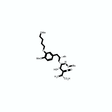 COCCCCOc1cc(C[C@@H](C[C@H](NOC(C)(C)C)[C@@H](O)C(=C=O)[C@@H](C)C(=O)O)C(C)C)ccc1OC